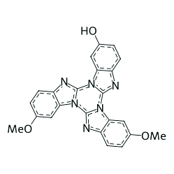 COc1ccc2nc3n4c5cc(O)ccc5nc4n4c5cc(OC)ccc5nc4n3c2c1